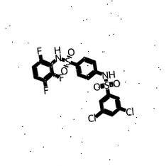 O=S(=O)(Nc1ccc(S(=O)(=O)Nc2c(F)ccc(F)c2F)cc1)c1cc(Cl)cc(Cl)c1